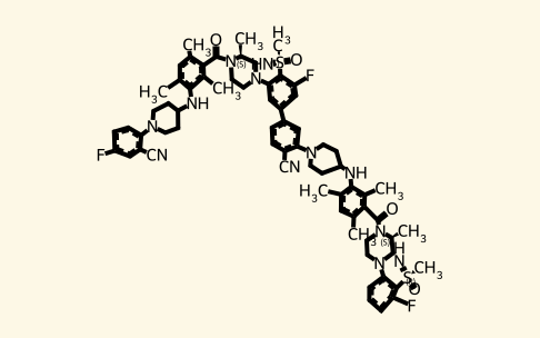 Cc1cc(C)c(C(=O)N2CCN(c3cc(-c4ccc(C#N)c(N5CCC(Nc6c(C)cc(C)c(C(=O)N7CCN(c8cccc(F)c8[S@](C)(=N)=O)C[C@@H]7C)c6C)CC5)c4)cc(F)c3[S@@](C)(=N)=O)C[C@@H]2C)c(C)c1NC1CCN(c2ccc(F)cc2C#N)CC1